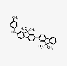 Cc1ccc(Nc2ccc3c(c2)C(C)(C)c2cc(-c4ccc5c(c4)C(C)(C)c4ccccc4-5)ccc2-3)cc1